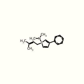 CC(C)=CCS1(N(C)C)C=CC(c2ccccc2)=C1